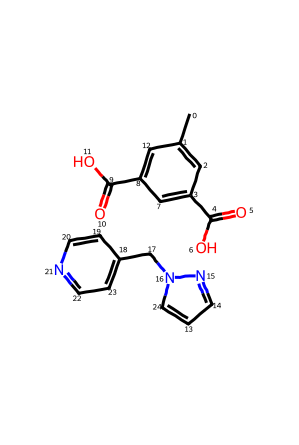 Cc1cc(C(=O)O)cc(C(=O)O)c1.c1cnn(Cc2ccncc2)c1